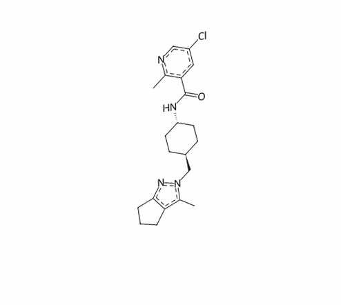 Cc1ncc(Cl)cc1C(=O)N[C@H]1CC[C@H](Cn2nc3c(c2C)CCC3)CC1